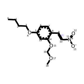 CCCCOc1ccc(/C=C/[N+](=O)[O-])c(OCOC)c1